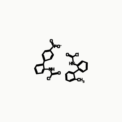 Cc1ccccc1-c1ccccc1NC(=O)Cl.O=C(Cl)Nc1ccccc1-c1ccc([N+](=O)[O-])cc1